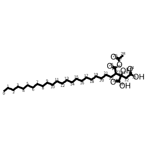 CCCCCCCCCCCCCCCCCCCCCCCC(C(=O)OC(C)=O)C(O)(CC(=O)O)C(=O)O